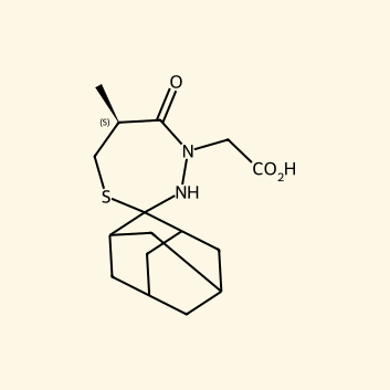 C[C@@H]1CSC2(NN(CC(=O)O)C1=O)C1CC3CC(C1)CC2C3